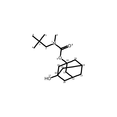 CN(CC(C)(C)C)C(=O)OC12CC3CC(CC(O)(C3)C1)C2